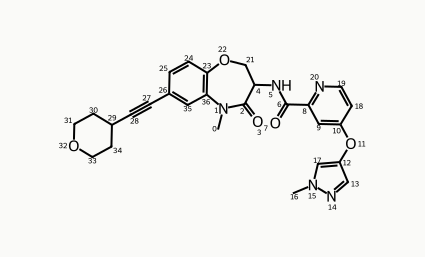 CN1C(=O)C(NC(=O)c2cc(Oc3cnn(C)c3)ccn2)COc2ccc(C#CC3CCOCC3)cc21